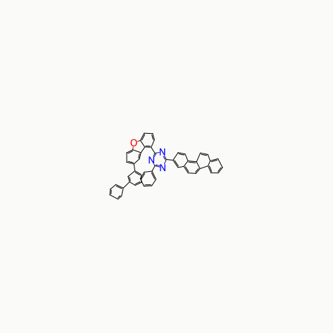 c1ccc(-c2cccc(-c3ccc4oc5cccc(-c6nc(-c7ccccc7)nc(-c7ccc8c(ccc9c%10ccccc%10ccc89)c7)n6)c5c4c3)c2)cc1